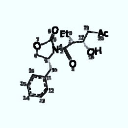 CC[C@@H](C(=O)N1C(=O)OC[C@H]1Cc1ccccc1)[C@@H](O)CC(C)=O